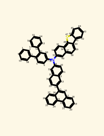 c1ccc(-c2ccc(N(c3ccc4cc(-c5cc6ccccc6c6ccccc56)ccc4c3)c3ccc4c(ccc5c6ccccc6sc45)c3)cc2-c2ccccc2)cc1